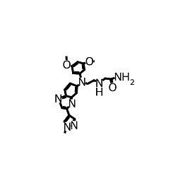 COc1cc(OC)cc(N(CCNCC(N)=O)c2ccc3ncc(-c4cnn(C)c4)nc3c2)c1